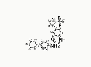 CC(Nc1ccc(-n2ccnc2C(F)(F)F)cc1)C(=O)Nc1ccc(-c2ccccc2)nn1